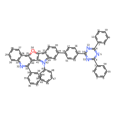 c1ccc(-c2nc(-c3ccccc3)nc(-c3ccc(-c4ccc5c6oc7c8ccccc8nc(-c8ccccc8)c7c6n(-c6ccccc6)c5c4)cc3)n2)cc1